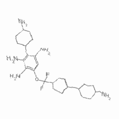 Nc1cc(OC(F)(F)C2CCC(C3CCC(N)CC3)CC2)c(N)c(N)c1C1CCC(N)CC1